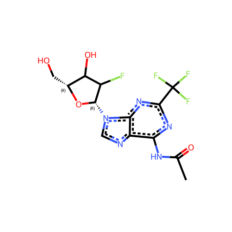 CC(=O)Nc1nc(C(F)(F)F)nc2c1ncn2[C@@H]1O[C@H](CO)C(O)C1F